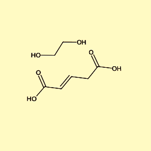 O=C(O)C=CCC(=O)O.OCCO